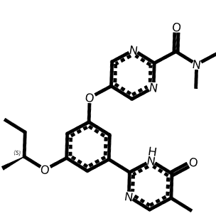 CC[C@H](C)Oc1cc(Oc2cnc(C(=O)N(C)C)nc2)cc(-c2ncc(C)c(=O)[nH]2)c1